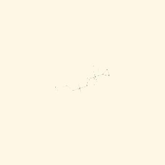 CCCC(C)(C)CNC(C)(C)C1CC1